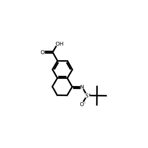 CC(C)(C)[S+]([O-])N=C1CCCc2cc(C(=O)O)ccc21